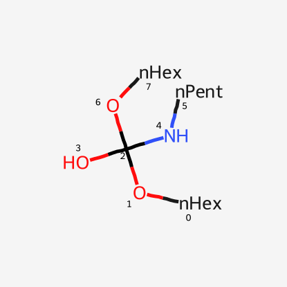 CCCCCCOC(O)(NCCCCC)OCCCCCC